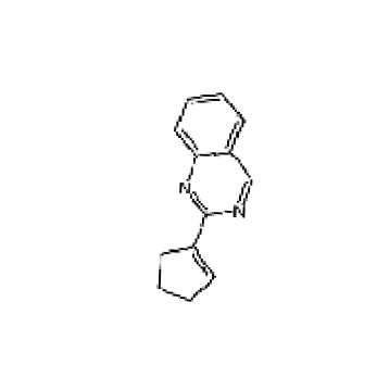 C1=C(c2ncc3ccccc3n2)CCC1